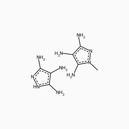 Cn1nc(N)c(N)c1N.Nc1n[nH]c(N)c1N